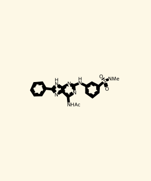 CNS(=O)(=O)c1cccc(Nc2nc(NC(C)=O)c3nc(-c4ccccc4)[nH]c3n2)c1